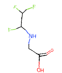 O=C(O)CNC(F)C(F)F